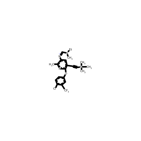 CCN(C)/C=N\c1cc(C#C[Si](C)(C)C)c(Oc2ccc(Cl)c(C(F)(F)F)c2)nc1C